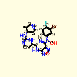 [H]/N=C(/c1nonc1NCC(C)N/C(=N\C#N)Nc1ccncc1)N(O)c1ccc(F)c(Br)c1